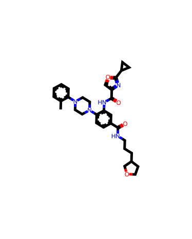 Cc1ccccc1N1CCN(c2ccc(C(=O)NCCCC3CCOC3)cc2NC(=O)c2coc(C3CC3)n2)CC1